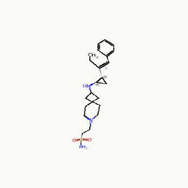 CC/C(=C\c1ccccc1)[C@@H]1C[C@H]1NC1CC2(CCN(CCS(N)(=O)=O)CC2)C1